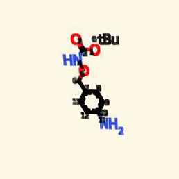 CC(C)(C)OC(=O)NOCc1ccc(N)cc1